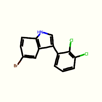 Clc1cccc(-c2c[nH]c3ccc(Br)cc23)c1Cl